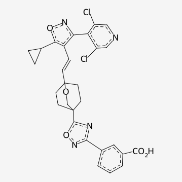 O=C(O)c1cccc(-c2noc(C34CCC(/C=C/c5c(-c6c(Cl)cncc6Cl)noc5C5CC5)(CC3)OC4)n2)c1